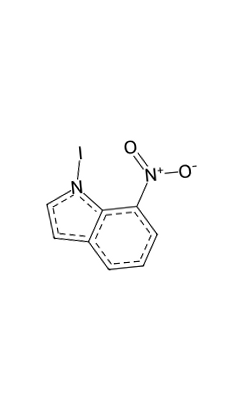 O=[N+]([O-])c1cccc2ccn(I)c12